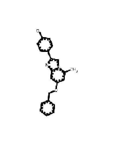 Cc1cc(OCc2ccccc2)cc2nc(-c3ccc(Cl)cc3)cn12